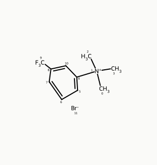 C[N+](C)(C)c1cccc(C(F)(F)F)c1.[Br-]